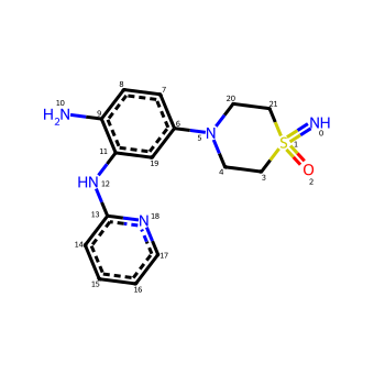 N=S1(=O)CCN(c2ccc(N)c(Nc3ccccn3)c2)CC1